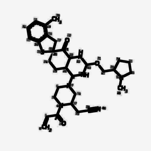 C=CC(=O)N1CCN(C2NC(OCC3CCCN3C)NC3C(=O)[C@]4(CCC32)Cc2c(C)cccc2S4)CC1CC#N